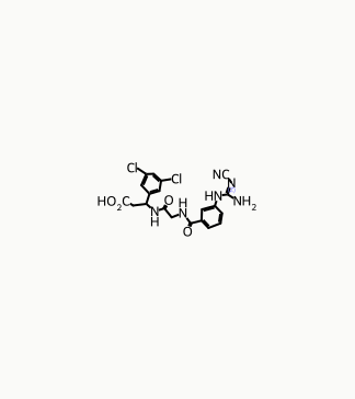 N#C/N=C(/N)Nc1cccc(C(=O)NCC(=O)NC(CC(=O)O)c2cc(Cl)cc(Cl)c2)c1